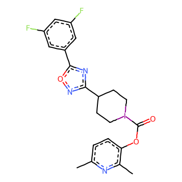 Cc1ccc(OC(=O)I2CCC(c3noc(-c4cc(F)cc(F)c4)n3)CC2)c(C)n1